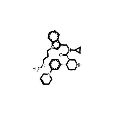 COCCCn1cc(CN(C(=O)[C@H]2CNCC[C@@H]2c2cccc(N3CC=CCC3)c2)C2CC2)c2ccccc21